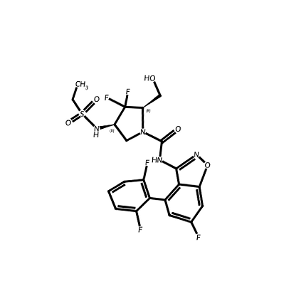 CCS(=O)(=O)N[C@@H]1CN(C(=O)Nc2noc3cc(F)cc(-c4c(F)cccc4F)c23)[C@H](CO)C1(F)F